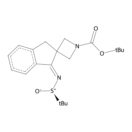 CC(C)(C)OC(=O)N1CC2(Cc3ccccc3/C2=N\[S@+]([O-])C(C)(C)C)C1